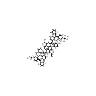 CCC(C)(C)c1ccc(-n2c3ccccc3c3ccc(N(c4cccc5c4CCCC5)c4cc(C(C)C)c5ccc6c(N(c7ccc8c9ccccc9n(-c9ccc(C(C)(C)CC)cc9)c8c7)c7cccc8c7CCCC8)cc(C(C)C)c7ccc4c5c76)cc32)cc1